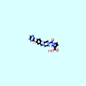 O=C(O)c1ccn(C(=O)N2CCN(Cc3cccc(Oc4cnccn4)c3)CC2)n1